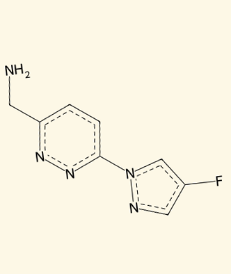 NCc1ccc(-n2cc(F)cn2)nn1